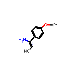 CC(C)Oc1ccc(/C(N)=C/C#N)cc1